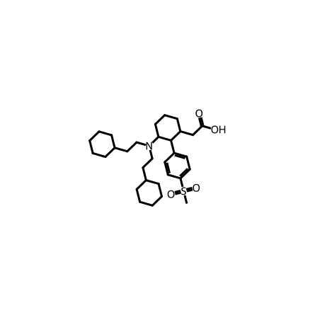 CS(=O)(=O)c1ccc(C2C(CC(=O)O)CCCC2N(CCC2CCCCC2)CCC2CCCCC2)cc1